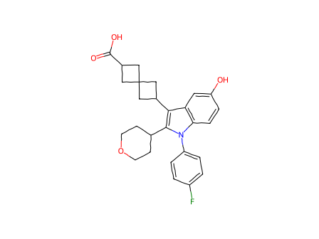 O=C(O)C1CC2(C1)CC(c1c(C3CCOCC3)n(-c3ccc(F)cc3)c3ccc(O)cc13)C2